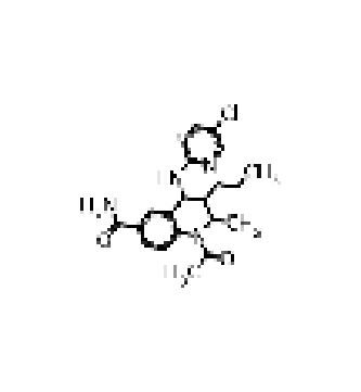 CCCC1C(Nc2ncc(Cl)cn2)c2cc(C(N)=O)ccc2N(C(C)=O)C1C